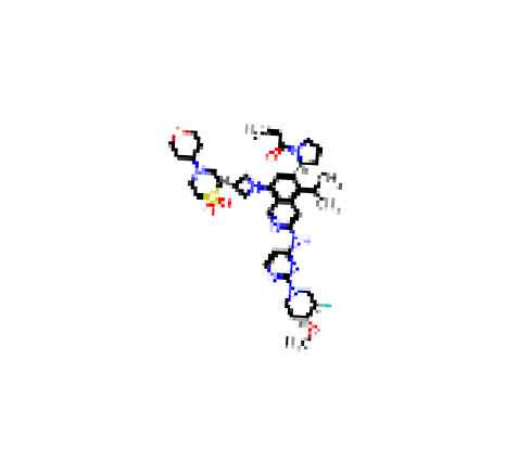 C=CC(=O)N1CCC[C@@H]1c1cc(N2CC([C@H]3CN(C4CCOCC4)CCS3(=O)=O)C2)c2cnc(Nc3ccnc(N4CC[C@@H](OC)[C@@H](F)C4)n3)cc2c1C(C)C